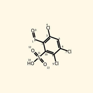 O=Ic1c(Cl)cc(Cl)c(Cl)c1S(=O)(=O)O